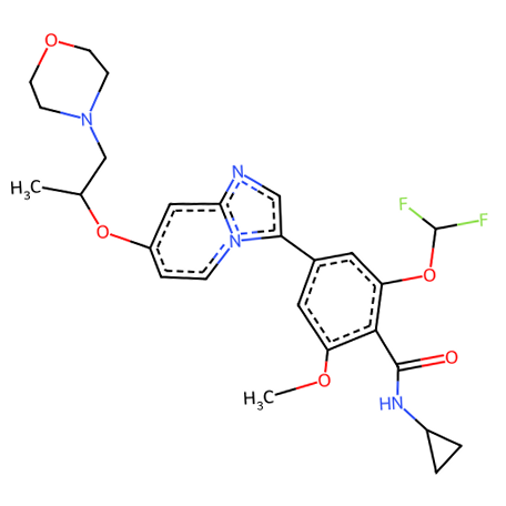 COc1cc(-c2cnc3cc(OC(C)CN4CCOCC4)ccn23)cc(OC(F)F)c1C(=O)NC1CC1